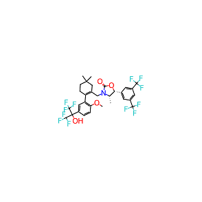 COc1ccc(C(O)(C(F)(F)F)C(F)(F)F)cc1C1=C(CN2C(=O)O[C@H](c3cc(C(F)(F)F)cc(C(F)(F)F)c3)[C@@H]2C)CC(C)(C)CC1